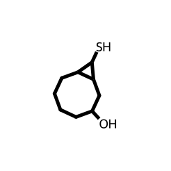 OC1CCCCC2C(S)C2C1